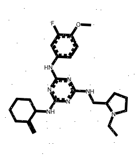 C=C1CCCCC1Nc1nc(NCC2CCCN2CC)nc(Nc2ccc(OC)c(F)c2)n1